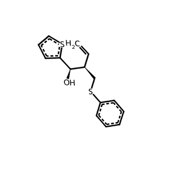 C=C[C@@H](CSc1ccccc1)[C@@H](O)c1cccs1